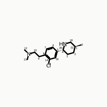 C[C@H]1CC[C@H](c2ccc(CCN(C)C)c(Cl)c2)NC1